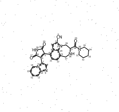 N#Cc1cc2c(C3=C(c4cnc5ccccn45)C(=O)NC3=O)ccc3c2n1CC(C(=O)N1CCCCC1)NC3